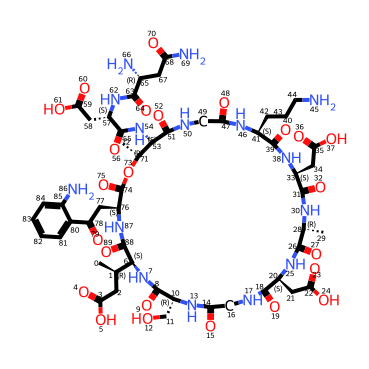 C[C@H](CC(=O)O)[C@@H]1NC(=O)[C@@H](CO)NC(=O)CNC(=O)[C@H](CC(=O)O)NC(=O)[C@@H](C)NC(=O)[C@H](CC(=O)O)NC(=O)[C@H](CCCN)NC(=O)CNC(=O)[C@@H](NC(=O)[C@H](CC(=O)O)NC(=O)[C@H](N)CC(N)=O)[C@@H](C)OC(=O)[C@H](CC(=O)c2ccccc2N)NC1=O